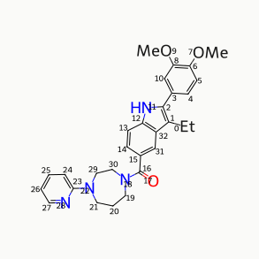 CCc1c(-c2ccc(OC)c(OC)c2)[nH]c2ccc(C(=O)N3CCCN(c4ccccn4)CC3)cc12